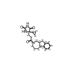 O=C1NC(=O)[C@](CCC(=O)N2CCCN3c4ccccc4CC3C2)(C2CC2)N1